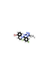 Cc1nnc2nc(N3CCCc4c(Br)cccc43)c3c(F)cc(F)cc3n12